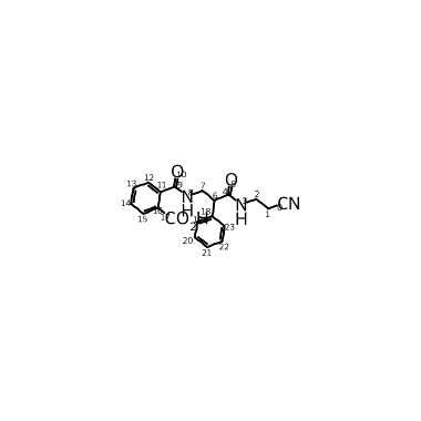 N#CCCNC(=O)C(CNC(=O)c1ccccc1C(=O)O)c1ccccc1